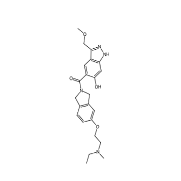 CCN(C)CCOc1ccc2c(c1)CN(C(=O)c1cc3c(COC)n[nH]c3cc1O)C2